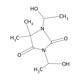 CC(O)N1C(=O)N(C(C)O)C(C)(C)C1=O